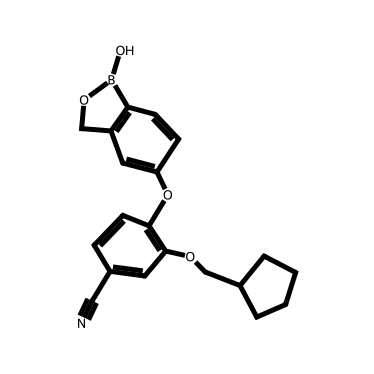 N#Cc1ccc(Oc2ccc3c(c2)COB3O)c(OCC2CCCC2)c1